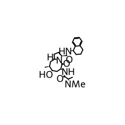 CN[C@@H](C)C(=O)N[C@H]1C[C@H](O)[C@@H](C)C[C@H]2CC[C@@H](C(=O)N[C@@H]3CCCc4ccccc43)N2C1=O